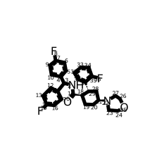 O=C(NC(c1ccc(F)cc1)c1ccc(F)cc1)[C@@H]1CC[C@H](N2CCOCC2)C[C@H]1c1ccccc1F